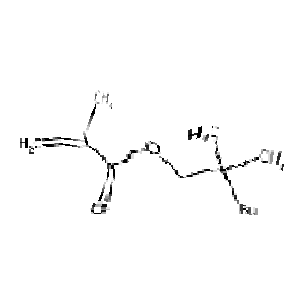 C=C(C)C(=O)OCC(C)(C)C(C)CC